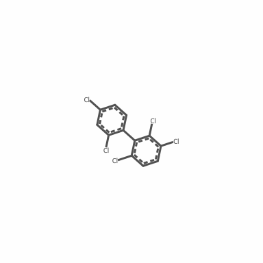 Clc1ccc(-c2c(Cl)ccc(Cl)c2Cl)c(Cl)c1